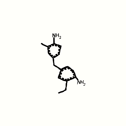 CCc1cc(Cc2ccc(N)c(C)c2)ccc1N